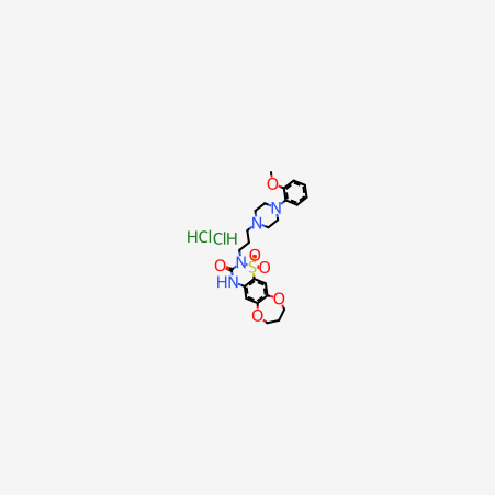 COc1ccccc1N1CCN(CCCN2C(=O)Nc3cc4c(cc3S2(=O)=O)OCCCO4)CC1.Cl.Cl